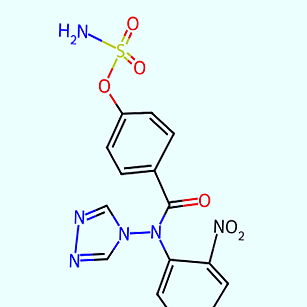 NS(=O)(=O)Oc1ccc(C(=O)N(c2ccccc2[N+](=O)[O-])n2cnnc2)cc1